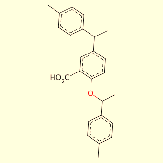 Cc1ccc(C(C)Oc2ccc(C(C)c3ccc(C)cc3)cc2C(=O)O)cc1